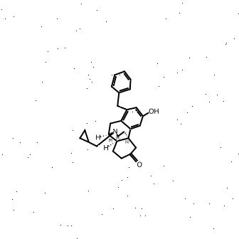 O=C1CC[C@H]2[C@H]3Cc4c(Cc5ccccc5)cc(O)cc4[C@@]2(CCN3CC2CC2)C1